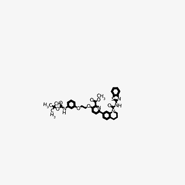 COC(=O)c1nc(-c2ccc3c(c2)N(C(=O)Nc2nc4ccccc4s2)CCC3)ccc1OCCOc1cccc(NC(=O)OC(C)(C)C)c1